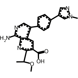 COC(C)c1nc2c(N)ncc(-c3ccc(-c4cnn(C)c4)cc3)c2cc1C(=O)O